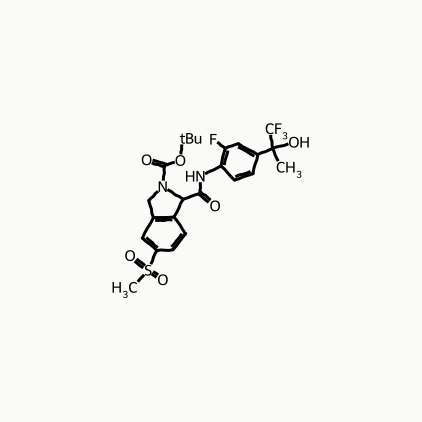 CC(C)(C)OC(=O)N1Cc2cc(S(C)(=O)=O)ccc2C1C(=O)Nc1ccc(C(C)(O)C(F)(F)F)cc1F